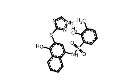 Cc1cccc(S(=O)(=O)Nc2cc(Sc3nc[nH]n3)c(O)c3ccccc23)c1C